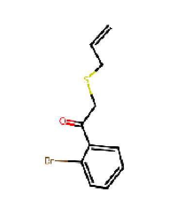 C=CCSCC(=O)c1ccccc1Br